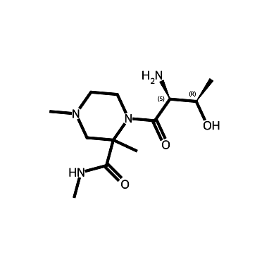 CNC(=O)C1(C)CN(C)CCN1C(=O)[C@@H](N)[C@@H](C)O